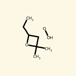 CCC1CC(C)(C)O1.[O]O